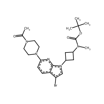 CC(=O)N1CCN(c2ccc3c(Br)cn(C4CC(N(C)C(=O)OC(C)(C)C)C4)c3n2)CC1